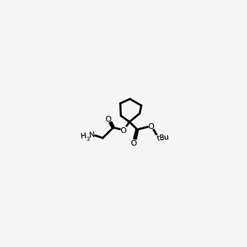 CC(C)(C)OC(=O)C1(OC(=O)CN)CCCCC1